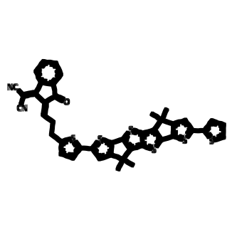 CC1(C)c2cc(-c3cccs3)sc2-c2sc3c4c(sc3c21)-c1sc(-c2ccc(CC/C=C3\C(=O)c5ccccc5C3=C(C#N)C#N)s2)cc1C4(C)C